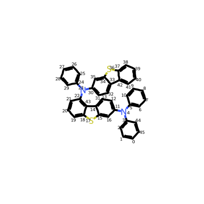 c1ccc(N(c2ccccc2)c2ccc3c(c2)sc2cccc(N(c4ccccc4)c4ccc5c(c4)sc4ccccc45)c23)cc1